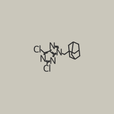 Clc1nc(Cl)c2ncn(CC34CC5CC(CC(C5)C3)C4)c2n1